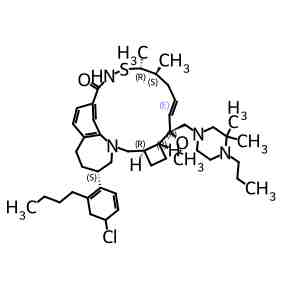 CCCCC1=C([C@@H]2CCc3ccc4cc3N(C2)C[C@@H]2CC[C@H]2[C@@](CN2CCN(CCC)C(C)(C)C2)(OC)/C=C/C[C@H](C)[C@@H](C)SNC4=O)C=CC(Cl)C1